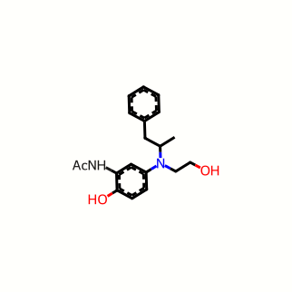 CC(=O)Nc1cc(N(CCO)C(C)Cc2ccccc2)ccc1O